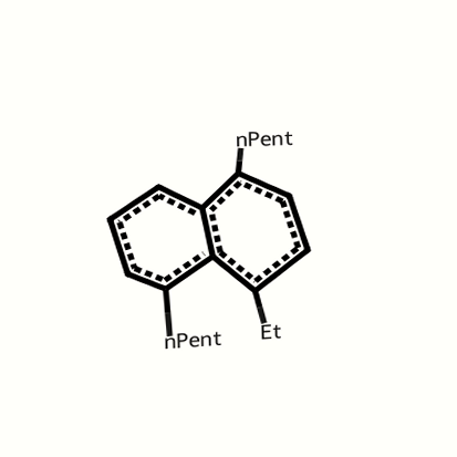 [CH2]Cc1ccc(CCCCC)c2cccc(CCCCC)c12